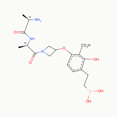 C[C@@H](N)C(=O)N[C@H](C)C(=O)N1CC(Oc2ccc(CCB(O)O)c(O)c2C(=O)O)C1